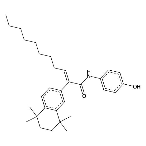 CCCCCCCC/C=C(/C(=O)Nc1ccc(O)cc1)c1ccc2c(c1)C(C)(C)CCC2(C)C